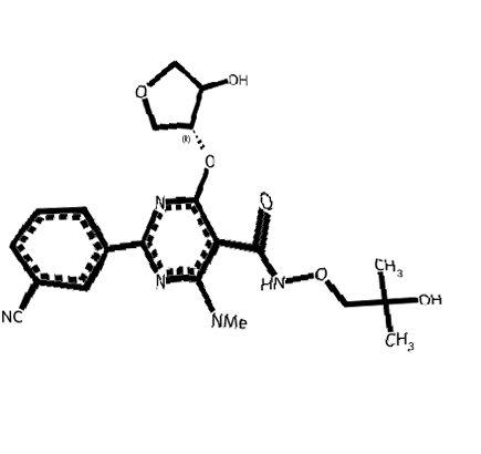 CNc1nc(-c2cccc(C#N)c2)nc(O[C@@H]2COCC2O)c1C(=O)NOCC(C)(C)O